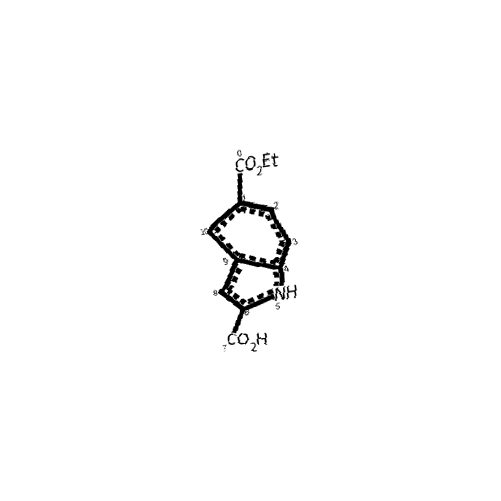 CCOC(=O)c1ccc2[nH]c(C(=O)O)cc2c1